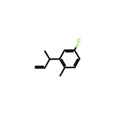 C=CC(C)c1cc(F)ccc1C